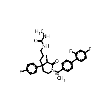 CNC(=O)NCCCC1(c2ccc(F)cc2)CCN([C@@H](C)c2ccc(-c3ccc(F)cc3F)cc2)C(=O)C1I